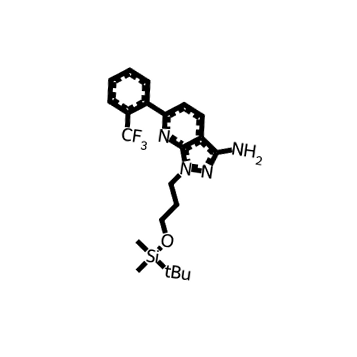 CC(C)(C)[Si](C)(C)OCCCn1nc(N)c2ccc(-c3ccccc3C(F)(F)F)nc21